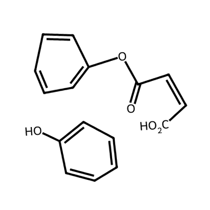 O=C(O)/C=C\C(=O)Oc1ccccc1.Oc1ccccc1